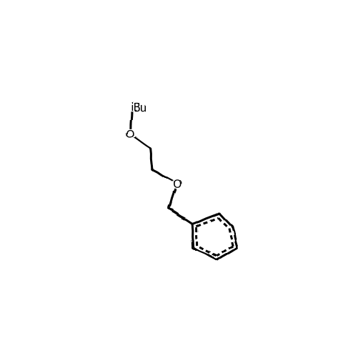 CCC(C)OCCOCc1ccccc1